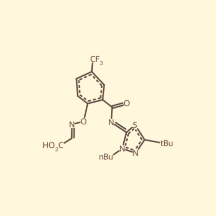 CCCCn1nc(C(C)(C)C)s/c1=N\C(=O)c1cc(C(F)(F)F)ccc1ON=CC(=O)O